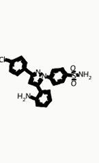 Nc1ccccc1-c1cc(-c2ccc(Cl)cc2)nn1-c1ccc(S(N)(=O)=O)cc1